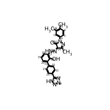 CC1=NN(c2ccc(C)c(C)c2)C(=O)/C1=N\Nc1cccc(-c2ccc(-c3nnn[nH]3)cc2)c1O